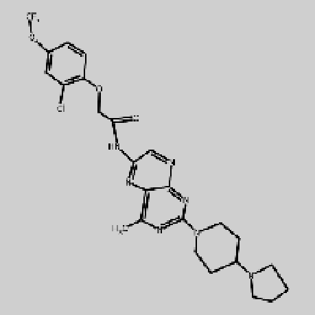 Cc1nc(N2CCC(N3CCCC3)CC2)nc2ncc(NC(=O)COc3ccc(OC(F)(F)F)cc3Cl)nc12